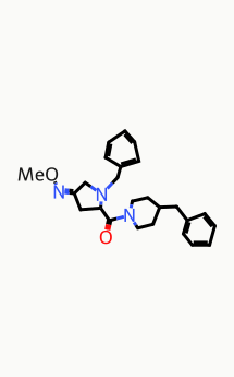 CON=C1CC(C(=O)N2CCC(Cc3ccccc3)CC2)N(Cc2ccccc2)C1